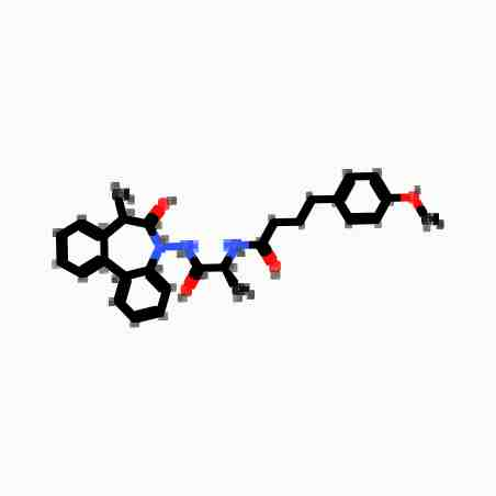 COc1ccc(CCCC(=O)N[C@@H](C)C(=O)NN2C(=O)C(C)c3ccccc3-c3ccccc32)cc1